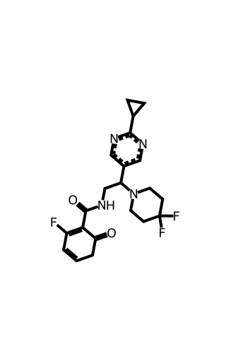 O=C1CC=CC(F)=C1C(=O)NCC(c1cnc(C2CC2)nc1)N1CCC(F)(F)CC1